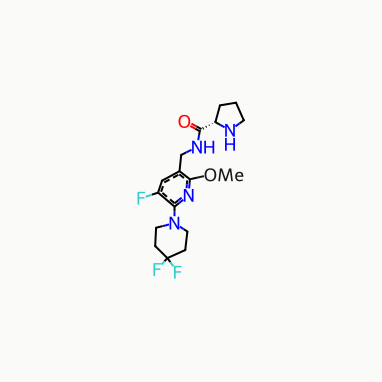 COc1nc(N2CCC(F)(F)CC2)c(F)cc1CNC(=O)[C@@H]1CCCN1